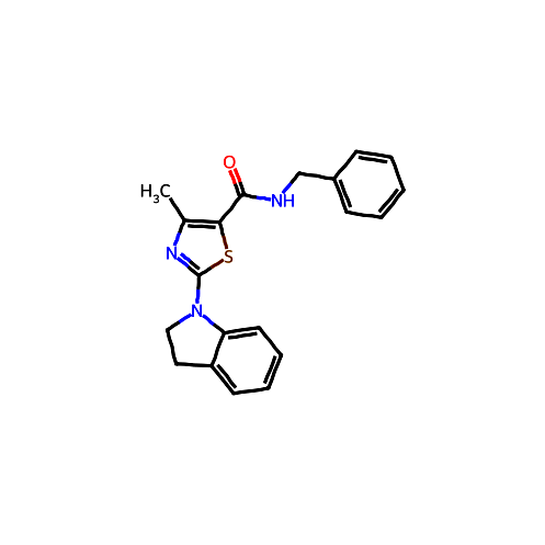 Cc1nc(N2CCc3ccccc32)sc1C(=O)NCc1ccccc1